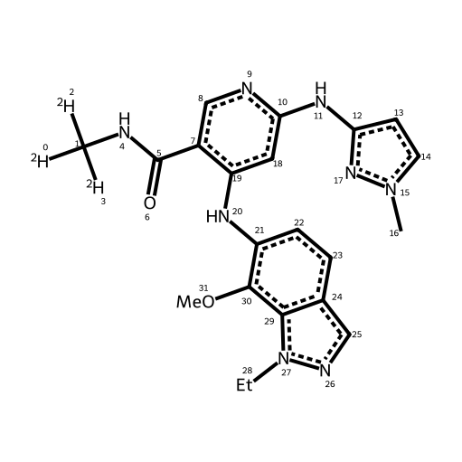 [2H]C([2H])([2H])NC(=O)c1cnc(Nc2ccn(C)n2)cc1Nc1ccc2cnn(CC)c2c1OC